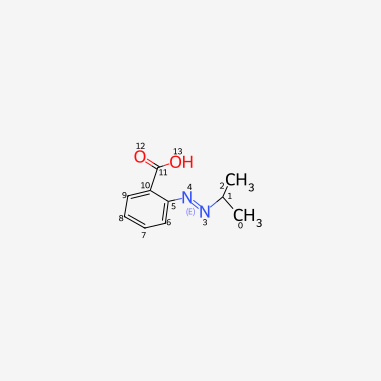 CC(C)/N=N/c1ccccc1C(=O)O